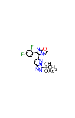 CC(=O)OC(C)(C)c1nnc2ccc(-c3c(-c4ccc(F)cc4F)nc4occn34)nn12